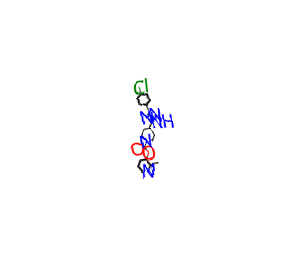 Cc1ncccc1OC(=O)N1CCC(c2nc(-c3ccc(Cl)cc3)n[nH]2)CC1